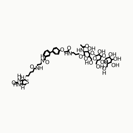 CC(=O)NC1C(O)[C@H](O[C@@H]2OC(CO)[C@H](O)C(O[C@H]3OC(CO)[C@H](O)C(O)C3O)C2O)C(CO)O[C@H]1OCCCNC(=O)COc1ccc(-c2cccc(C(=O)NCCNC(=O)CCCC[C@@H]3SC[C@@H]4NC(=O)N[C@@H]43)c2)cc1